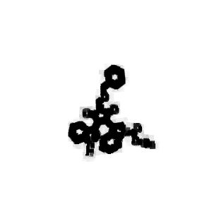 CC(C)(C)OC(=O)n1cc(C2=C(c3c[nH]c4ccccc34)C(=O)N(COCc3ccccc3)C2=O)c2ccccc21